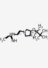 C=CC(=N)N/C=C/N1CC[C@H](O[Si](C)(C)C(C)(C)C)C1